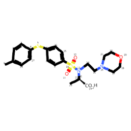 Cc1ccc(Sc2ccc(S(=O)(=O)N(CCN3CCOCC3)[C@H](C)C(=O)O)cc2)cc1